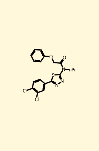 CCCN(C(=O)COc1ccccc1)c1nnc(-c2ccc(Cl)c(Cl)c2)s1